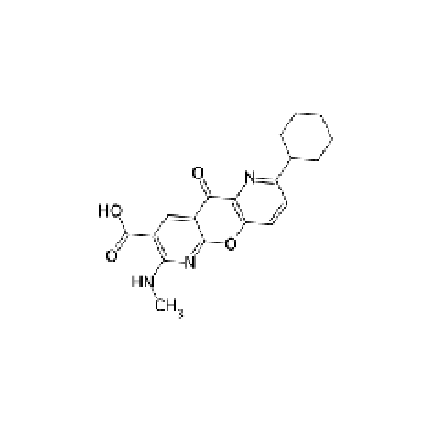 CNc1nc2oc3ccc(C4CCCCC4)nc3c(=O)c2cc1C(=O)O